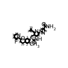 Cc1cc2c(cc1N1Cc3c(cc(-n4cc(C(N)=O)cn4)nc3C3CC3)NC1=O)OC(c1ncccc1F)CC2